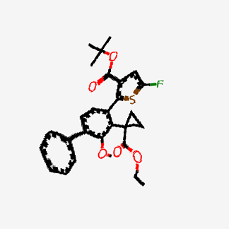 CCOC(=O)C1(c2c(-c3sc(F)cc3C(=O)OC(C)(C)C)ccc(-c3ccccc3)c2OC)CC1